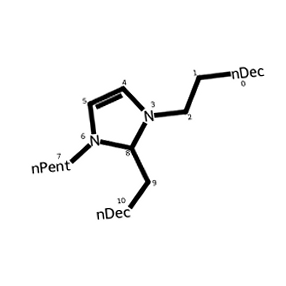 CCCCCCCCCCCCN1C=CN(CCCCC)C1CCCCCCCCCCC